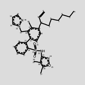 C=CC(CCCCCC)c1ccc(-c2ccccc2S(=O)(=O)Nc2noc(C)c2C)c(Cn2cccn2)c1C